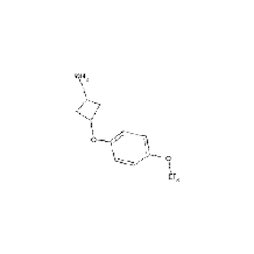 NC1CC(Oc2ccc(OC(F)(F)F)cc2)C1